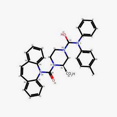 Cc1ccc(N(c2ccccc2)C(O)N2CCN(C(=O)N3c4ccccc4C=Cc4ccccc43)[C@H](C(=O)O)C2)cc1